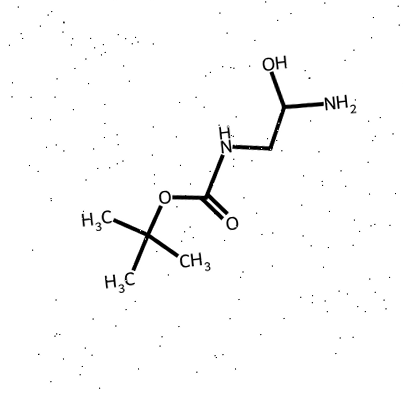 CC(C)(C)OC(=O)NCC(N)O